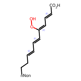 CCCCCCCCCCC/C=C/C=C/C(=C/C=C/C(=O)O)OO